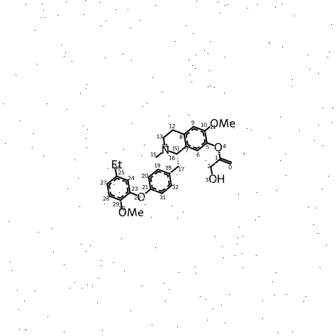 C=C(CO)Oc1cc2c(cc1OC)CCN(C)[C@H]2Cc1ccc(Oc2cc(CC)ccc2OC)cc1